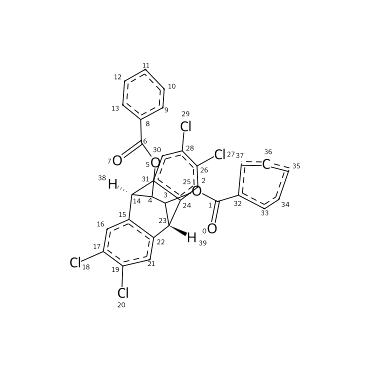 O=C(OC1C(OC(=O)c2ccccc2)[C@H]2c3cc(Cl)c(Cl)cc3[C@H]1c1cc(Cl)c(Cl)cc12)c1ccccc1